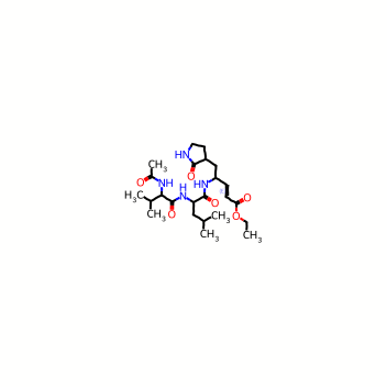 CCOC(=O)/C=C/C(CC1CCNC1=O)NC(=O)C(CC(C)C)NC(=O)C(NC(C)=O)C(C)C